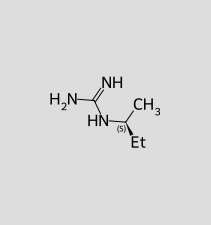 CC[C@H](C)NC(=N)N